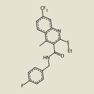 CCSc1nc2cc(C(F)(F)F)ccc2c(C)c1C(=O)NCc1ccc(F)cc1